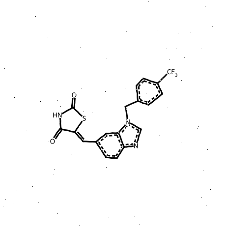 O=C1NC(=O)C(=Cc2ccc3ncn(Cc4ccc(C(F)(F)F)cc4)c3c2)S1